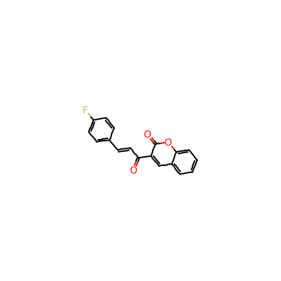 O=C(/C=C/c1ccc(F)cc1)c1cc2ccccc2oc1=O